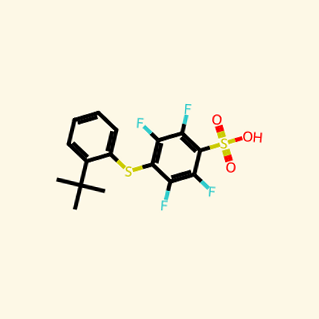 CC(C)(C)c1ccccc1Sc1c(F)c(F)c(S(=O)(=O)O)c(F)c1F